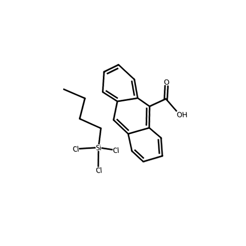 CCCC[Si](Cl)(Cl)Cl.O=C(O)c1c2ccccc2cc2ccccc12